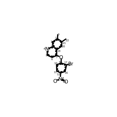 Cc1cc2nccc(Oc3ccc([N+](=O)[O-])cc3Br)c2cc1C